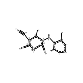 Cc1cccc(C)c1Nn1c(C)c(C#N)c(=O)[nH]c1=O